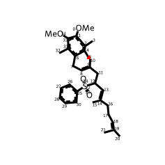 COc1c(C)c(C)c(C/C=C(\C)CC(/C=C(\C)CCC=C(C)C)S(=O)(=O)c2ccccc2)c(C)c1OC